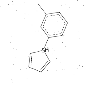 Cc1cc[c]c([SH]2C=CC=C2)c1